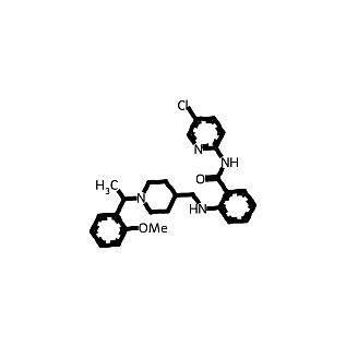 COc1ccccc1C(C)N1CCC(CNc2ccccc2C(=O)Nc2ccc(Cl)cn2)CC1